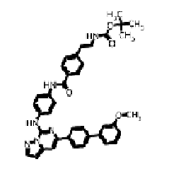 COc1cccc(-c2ccc(-c3cc4ccnn4c(Nc4ccc(NC(=O)c5ccc(CCNC(=O)OC(C)(C)C)cc5)cc4)n3)cc2)c1